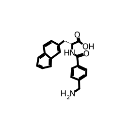 NCc1ccc(C(=O)N[C@H](Cc2ccc3ccccc3c2)C(=O)O)cc1